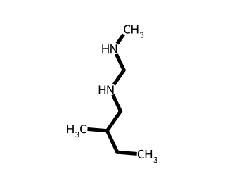 CCC(C)CNCNC